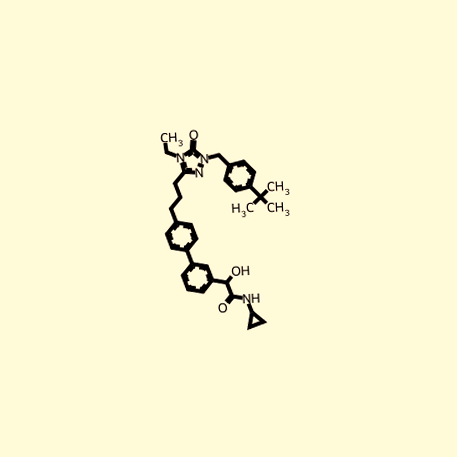 CCn1c(CCCc2ccc(-c3cccc(C(O)C(=O)NC4CC4)c3)cc2)nn(Cc2ccc(C(C)(C)C)cc2)c1=O